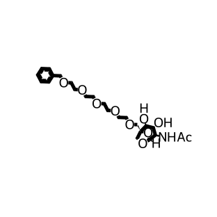 CC(=O)N[C@H]1[C@H]2OC[C@](COCCOCCOCCOCCOCc3ccccc3)(O2)[C@H](O)[C@@H]1O